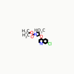 C=C(C)OC(=O)N1C[C@H](Oc2ccnc3cc(Cl)ccc23)C[C@H]1C(=O)O